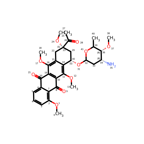 COc1cccc2c1C(=O)c1c(OC)c3c(c(OC)c1C2=O)C[C@@](OC)(C(C)=O)C[C@@H]3OC1C[C@@H](N)[C@@H](OC)C(C)O1